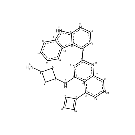 NC1CC(Nc2nc(-c3ccnc4[nH]c5ccccc5c34)nc3cncc(C4=CC=C4)c23)C1